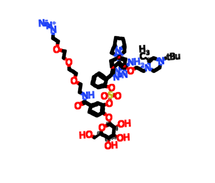 C[C@@H]1CN(C(C)(C)C)CCN1CCOc1cc(N2C3CCC2CN(c2cc(-c4ccccc4OS(=O)(=O)Oc4cc(C(=O)NCCOCCOCCOCCN=[N+]=[N-])ccc4O[C@@H]4O[C@H](CO)[C@H](O)[C@H](O)[C@H]4O)nnc2N)C3)ccn1